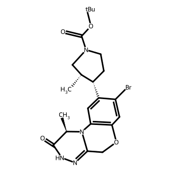 C[C@@H]1CN(C(=O)OC(C)(C)C)CC[C@@H]1c1cc2c(cc1Br)OCC1=NNC(=O)[C@@H](C)N12